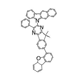 CC1(C)c2cc(-c3cccc4c3OC3C=CC=CC43)ccc2-c2nc(-c3ccccc3)c(-n3c4ccccc4c4cc5ccccc5cc43)nc21